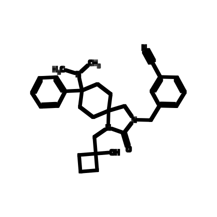 CN(C)C1(c2ccccc2)CCC2(CC1)CN(Cc1cccc(C#N)c1)C(=O)N2CC1(O)CCC1